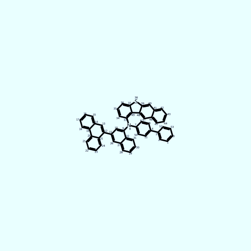 c1ccc(-c2ccc(N(c3cc(-c4cc5ccccc5c5ccccc45)cc4ccccc34)c3cccc4sc5cc6ccccc6cc5c34)cc2)cc1